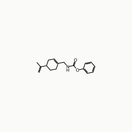 C=C(C)C1CC=C(CNC(=O)Oc2ccccc2)CC1